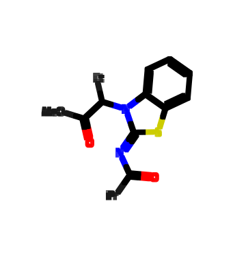 CCC(C(=O)OC)n1/c(=N/C(=O)C(C)C)sc2ccccc21